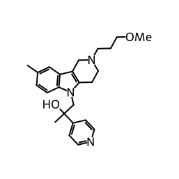 COCCCN1CCc2c(c3cc(C)ccc3n2CC(C)(O)c2ccncc2)C1